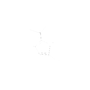 CC(C)c1cnc(S)o1